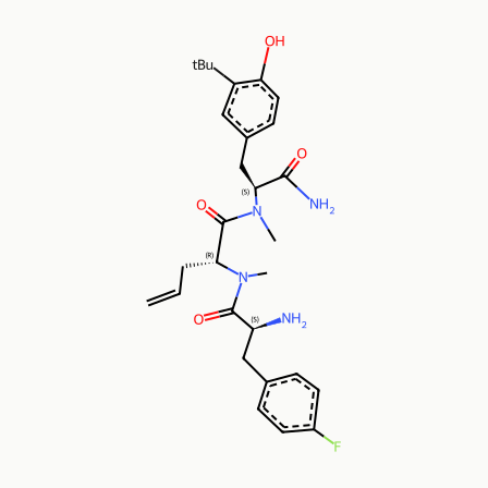 C=CC[C@H](C(=O)N(C)[C@@H](Cc1ccc(O)c(C(C)(C)C)c1)C(N)=O)N(C)C(=O)[C@@H](N)Cc1ccc(F)cc1